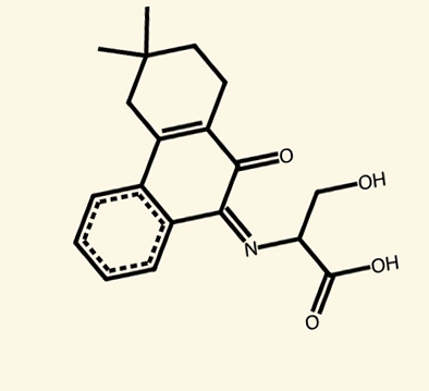 CC1(C)CCC2=C(C1)c1ccccc1/C(=N/C(CO)C(=O)O)C2=O